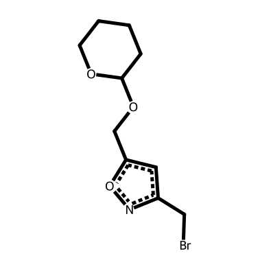 BrCc1cc(COC2CCCCO2)on1